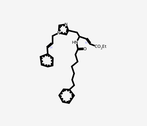 CCOC(=O)/C=C/C(Cc1cn(C/C=C/c2ccccc2)cn1)NC(=O)CCCCCCc1ccccc1